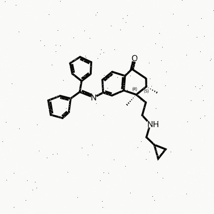 C[C@H]1CC(=O)c2ccc(N=C(c3ccccc3)c3ccccc3)cc2[C@]1(C)CCNCC1CC1